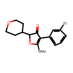 CCc1cccc(C2=C(NC)OC(C3CCOCC3)C2=O)c1